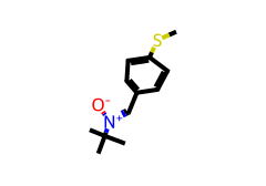 CSc1ccc(C=[N+]([O-])C(C)(C)C)cc1